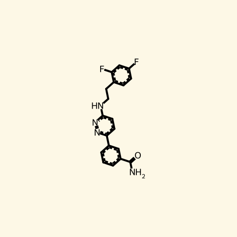 NC(=O)c1cccc(-c2ccc(NCCc3ccc(F)cc3F)nn2)c1